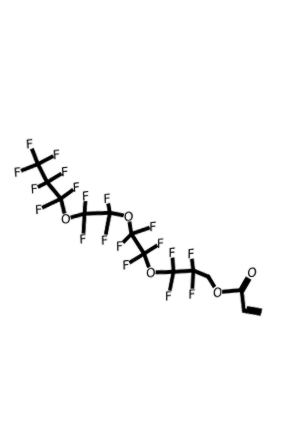 C=CC(=O)OCC(F)(F)C(F)(F)OC(F)(F)C(F)(F)OC(F)(F)C(F)(F)OC(F)(F)C(F)(F)C(F)(F)F